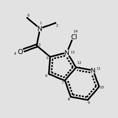 CN(C)C(=O)c1cc2cccnc2n1Cl